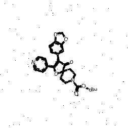 CC(C)(C)OC(=O)N1CCC2(CC1)OC(c1ccncc1)=C(c1ccc3c(c1)OCO3)C2=O